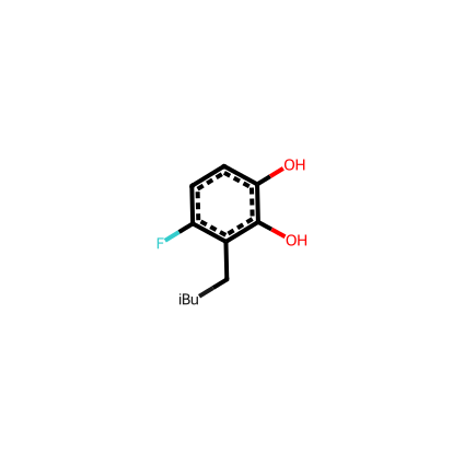 CCC(C)Cc1c(F)ccc(O)c1O